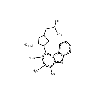 CCCCCCc1c(C)c(C#N)c2nc3ccccc3n2c1N1CCC(CN(C)C)C1.Cl.Cl